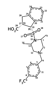 CC1CN(Cc2ccc(C(F)(F)F)cc2)CC(C)N1S(=O)(=O)[C@H]1c2ccccc2C[C@H]1C(=O)O